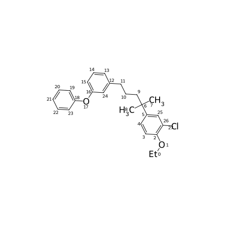 CCOc1ccc(C(C)(C)CCCc2cccc(Oc3ccccc3)c2)cc1Cl